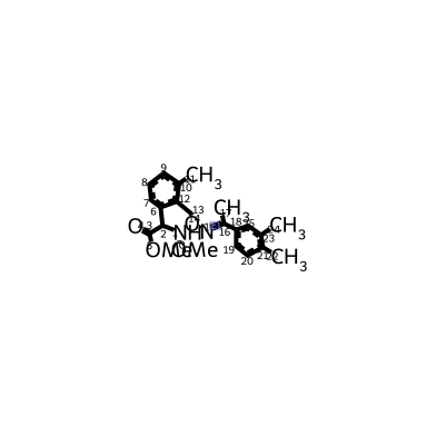 CONC(C(=O)OC)c1cccc(C)c1CO/N=C(\C)c1ccc(C)c(C)c1